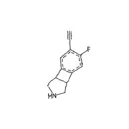 C#Cc1cc2c(cc1F)C1CNCC21